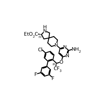 CCOC(=O)[C@@H]1CC2(CCN(c3cc(O[C@H](c4ccc(Cl)cc4-c4cc(F)cc(F)c4)C(F)(F)F)nc(N)n3)CC2)CN1